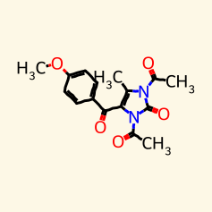 COc1ccc(C(=O)c2c(C)n(C(C)=O)c(=O)n2C(C)=O)cc1